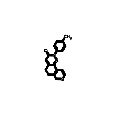 Cc1ccc(-n2nc3c(cc2=O)CCc2cnccc2-3)cc1